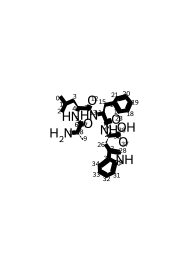 CC(C)C[C@H](NC(=O)[C@H](C)N)C(=O)N[C@@H](Cc1ccccc1)C(=O)N[C@@H](Cc1c[nH]c2ccccc12)C(=O)O